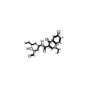 CCCC[C@H](CN(O)C=O)NC(=O)c1cn(CC)c2ccc(Cl)cc2c1=O